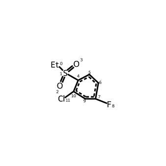 CCS(=O)(=O)c1ccc(F)cc1Cl